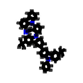 CC(C)(C)c1ccc2c(c1)c1cc(-c3ccc4c(c3)c3cc(C(C)(C)C)ccc3n4-c3cccc(-n4c5ccccc5c5ccccc54)c3C#N)ccc1n2-c1ccccc1